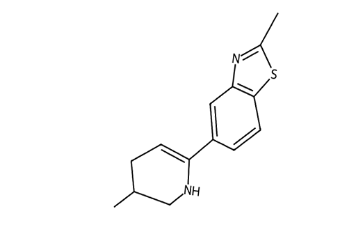 Cc1nc2cc(C3=CCC(C)CN3)ccc2s1